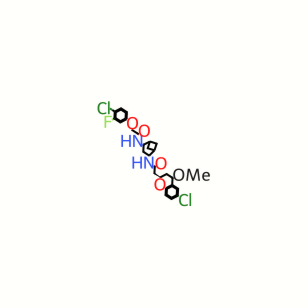 CO[C@@H]1C[C@H](CC(=O)NC2CC(NC(=O)COc3ccc(Cl)c(F)c3)C3CC2C3)Oc2ccc(Cl)cc21